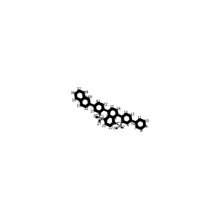 C[Si]1(C)c2cc(-c3ccccc3)ccc2-c2ccc3c4c(ccc1c24)[Si](C)(C)c1cc(-c2ccc4ccccc4c2)ccc1-3